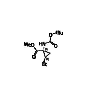 CC[C@@H]1C[C@]1(NC(=O)OC(C)(C)C)C(=O)OC